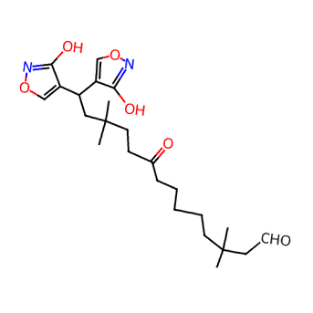 CC(C)(CC=O)CCCCCC(=O)CCC(C)(C)CC(c1conc1O)c1conc1O